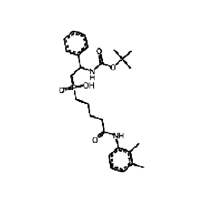 Cc1cccc(NC(=O)CCCCP(=O)(O)CC(NC(=O)OC(C)(C)C)c2ccccc2)c1C